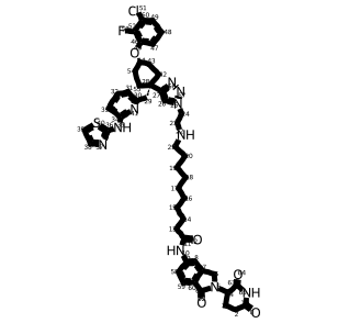 O=C1CCC(N2Cc3cc(NC(=O)CCCCCCCCCNCCn4cc([C@]5(Cc6cccc(Nc7nccs7)n6)CC[C@@H](Oc6cccc(Cl)c6F)CC5)nn4)ccc3C2=O)C(=O)N1